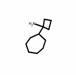 NC1(C2CCCCCC2)CCC1